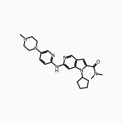 CN1CCN(c2ccc(Nc3cc4c(cn3)cc(C(=O)N(C)C)n4C3CCCC3)nc2)CC1